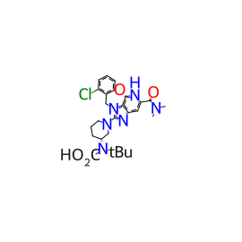 CN(C)C(=O)c1cc2nc(N3CCC[C@@H](N(C(=O)O)C(C)(C)C)C3)n(Cc3ccccc3Cl)c2c(=O)[nH]1